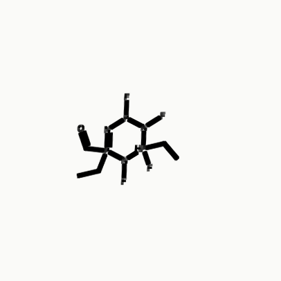 CCP1(C=O)=NP(F)N(F)[PH](F)(CC)N1F